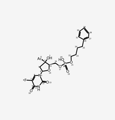 CC(=O)[C@]1(O)C[C@H](n2cc(F)c(=O)[nH]c2=O)O[C@@H]1COP(=O)(O)OCCCCc1ccccc1